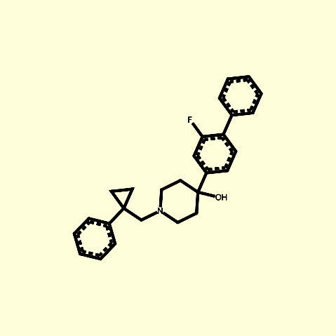 OC1(c2ccc(-c3ccccc3)c(F)c2)CCN(CC2(c3ccccc3)CC2)CC1